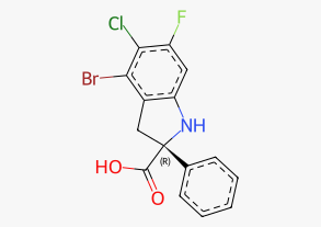 O=C(O)[C@]1(c2ccccc2)Cc2c(cc(F)c(Cl)c2Br)N1